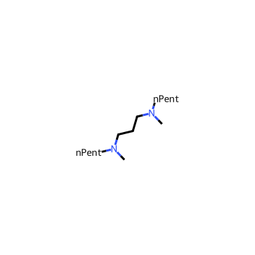 CCCCCN(C)CCCN(C)CCCCC